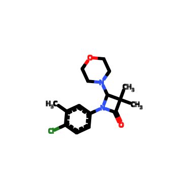 Cc1cc(N2C(=O)C(C)(C)C2N2CCOCC2)ccc1Cl